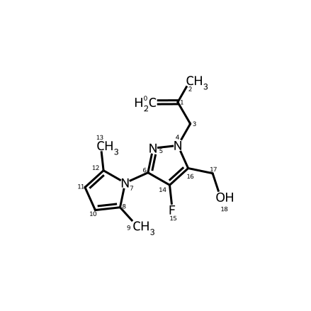 C=C(C)Cn1nc(-n2c(C)ccc2C)c(F)c1CO